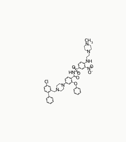 CN1CCN(CCNc2ccc(S(=O)(=O)NC(=O)c3ccc(N4CCN(Cc5cc(Cl)ccc5-c5ccccc5)CC4)cc3Oc3ccccc3)cc2[N+](=O)[O-])CC1